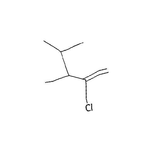 C=C(Cl)C(C)C(C)C